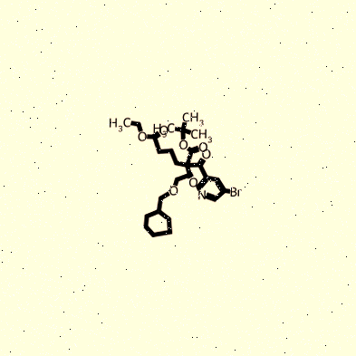 CCOC(=O)CCCC(C(=O)COCC1CCCCC1)(C(=O)OC(C)(C)C)C(=O)c1cncc(Br)c1